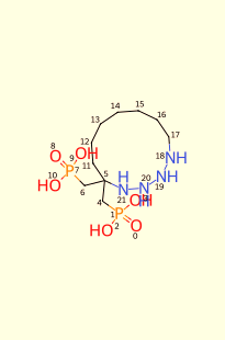 O=P(O)(O)CC1(CP(=O)(O)O)CCCCCCCNNNN1